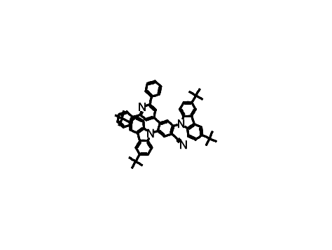 CC(C)(C)c1ccc2c(c1)c1cc(C(C)(C)C)ccc1n2-c1cc(-c2cc(-c3ccccc3)nc(-c3ccccc3)c2)c(-n2c3ccc(C(C)(C)C)cc3c3cc(C(C)(C)C)ccc32)cc1C#N